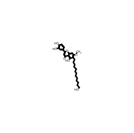 COc1cc2oc(-c3ccc(O)c(O)c3)cc(=O)c2c(O)c1CCCCCCCCCCCCCO